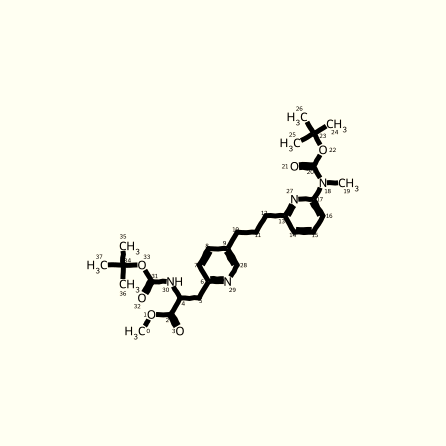 COC(=O)C(Cc1ccc(CCCc2cccc(N(C)C(=O)OC(C)(C)C)n2)cn1)NC(=O)OC(C)(C)C